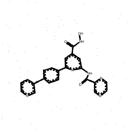 O=C(NO)c1cc(NC(=O)c2cnccn2)nc(-c2ccc(-c3cccnc3)cc2)c1